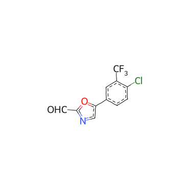 O=Cc1ncc(-c2ccc(Cl)c(C(F)(F)F)c2)o1